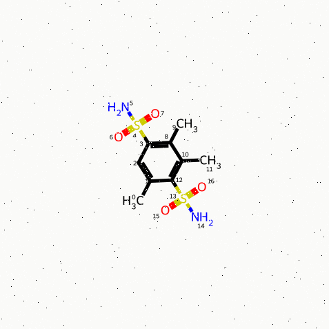 Cc1cc(S(N)(=O)=O)c(C)c(C)c1S(N)(=O)=O